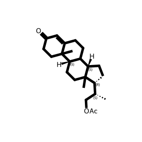 CC(=O)OC[C@@H](C)[C@H]1CC[C@H]2C3CCC4=CC(=O)CCC4(C)[C@H]3CCC12C